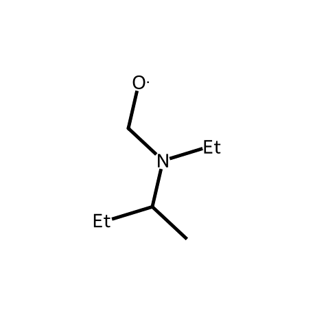 CCC(C)N(CC)C[O]